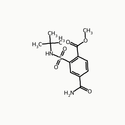 COC(=O)c1ccc(C(N)=O)cc1S(=O)(=O)NC(C)(C)C